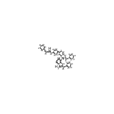 N[C@@]1(Cc2ccccc2)C[C@H]1c1ccccc1.N[C@]1(Cc2ccccc2)C[C@@H]1c1ccccc1.c1ccc(CNC2CC2c2ccccc2)cc1